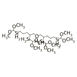 COC(OC)[SiH2]CCCC(COCC(CCC[SiH2]C(OC)OC)[SiH2]C(OC)OC)[SiH2]C(OC)OC